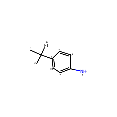 CCC(C)(C)c1ccc([NH])cc1